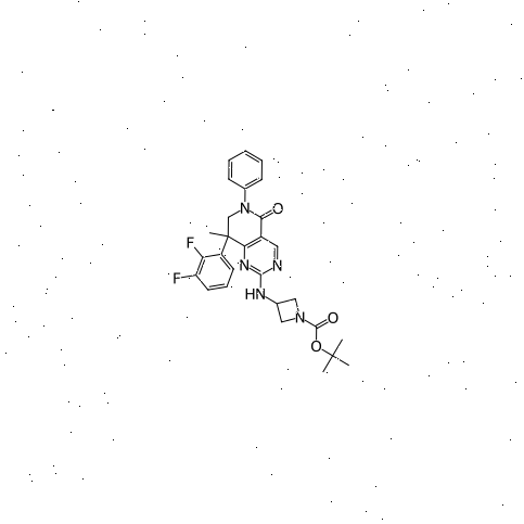 CC(C)(C)OC(=O)N1CC(Nc2ncc3c(n2)C(C)(c2cccc(F)c2F)CN(c2ccccc2)C3=O)C1